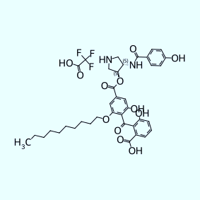 CCCCCCCCCCOc1cc(C(=O)O[C@H]2CNC[C@@H]2NC(=O)c2ccc(O)cc2)cc(O)c1C(=O)c1c(O)cccc1C(=O)O.O=C(O)C(F)(F)F